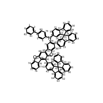 c1ccc(-c2ccc(N(c3ccc4c(c3)C3(c5ccccc5-c5ccccc53)c3ccccc3-4)c3ccc4oc5c(-c6ccc7c(c6)C6(c8ccccc8-c8ccccc86)c6ccccc6-7)c6c(cc5c4c3)oc3ccccc36)cc2)cc1